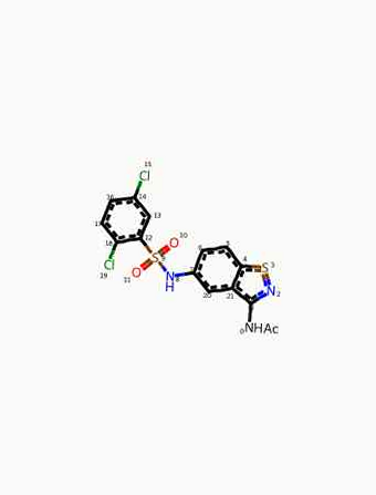 CC(=O)Nc1nsc2ccc(NS(=O)(=O)c3cc(Cl)ccc3Cl)cc12